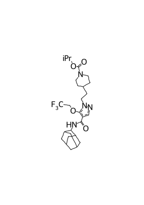 CC(C)OC(=O)N1CCC(CCn2ncc(C(=O)NC3C4CC5CC(C4)CC3C5)c2OCC(F)(F)F)CC1